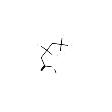 O=C(CC(S)(S)CC(O)(O)O)OS